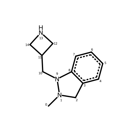 CN1Cc2ccccc2N1CC1CNC1